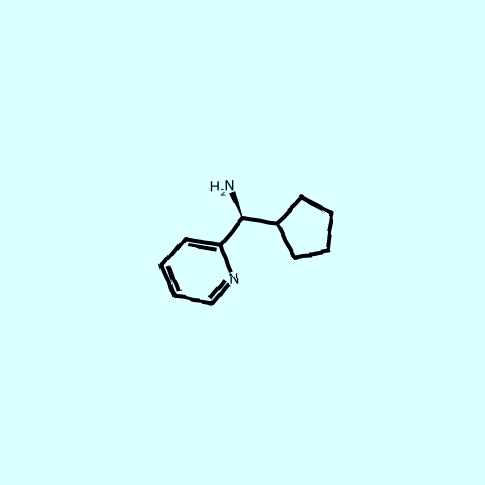 N[C@H](c1ccccn1)C1CCCC1